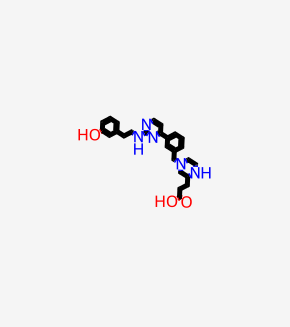 O=C(O)CCC1CN(Cc2cccc(-c3ccnc(NCCc4cccc(O)c4)n3)c2)CCN1